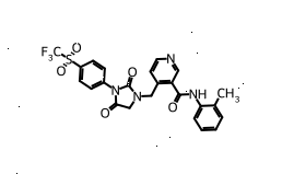 Cc1ccccc1NC(=O)c1cnccc1CN1CC(=O)N(c2ccc(S(=O)(=O)C(F)(F)F)cc2)C1=O